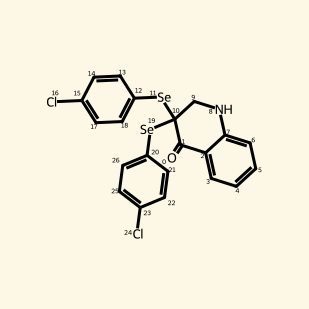 O=C1c2ccccc2NCC1([Se]c1ccc(Cl)cc1)[Se]c1ccc(Cl)cc1